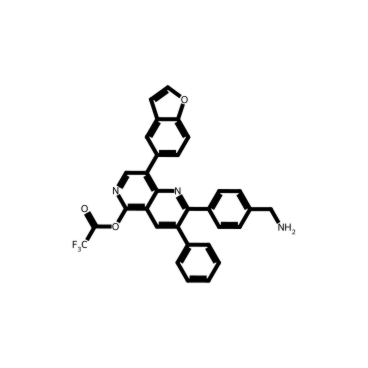 NCc1ccc(-c2nc3c(-c4ccc5occc5c4)cnc(OC(=O)C(F)(F)F)c3cc2-c2ccccc2)cc1